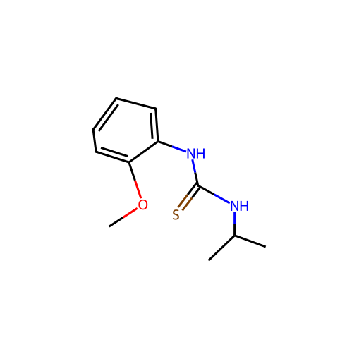 COc1ccccc1NC(=S)NC(C)C